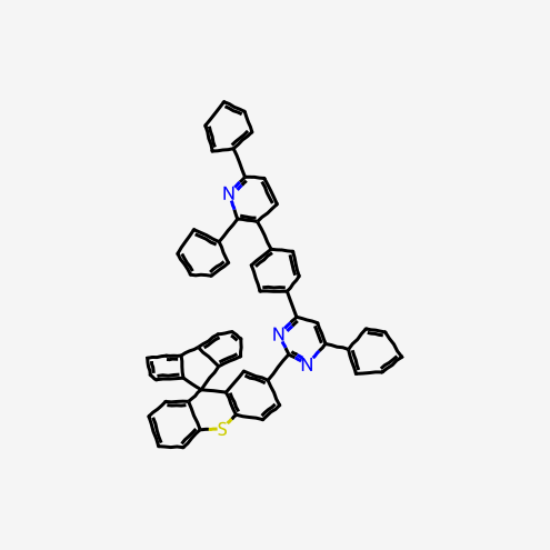 c1ccc(-c2cc(-c3ccc(-c4ccc(-c5ccccc5)nc4-c4ccccc4)cc3)nc(-c3ccc4c(c3)C3(c5ccccc5S4)c4ccccc4-c4ccccc43)n2)cc1